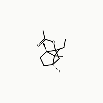 CCC1(OC(C)=O)C[C@H]2CC[C@@]1(C)C2(C)C